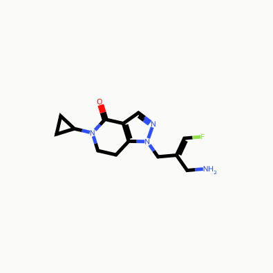 NCC(=CF)Cn1ncc2c1CCN(C1CC1)C2=O